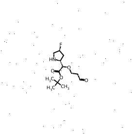 CC(C)(C)OC(=O)C(OCCC=O)[C@@H]1C[C@H](F)CN1